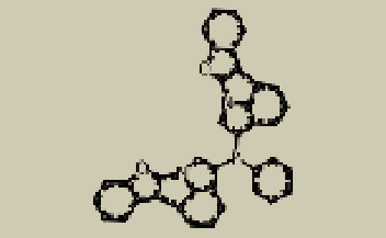 c1ccc(P(c2cn3c4oc5ccccc5c4c4cccc2c43)c2cn3c4oc5ccccc5c4c4cccc2c43)cc1